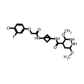 COC1CC(C(=O)NC23CC(NC(=O)COc4ccc(Cl)c(F)c4)(C2)C3)C(OC)NN1